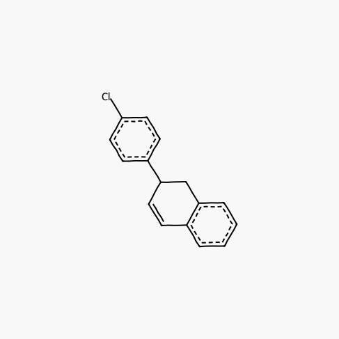 Clc1ccc(C2C=Cc3ccccc3C2)cc1